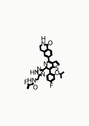 C=C(F)C(=O)NCc1nc(-c2nc(-c3ccc4c(c3)CCNC4=O)c3ccsc3c2-c2ccc(F)cc2OC(C)C)n[nH]1